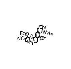 CCOc1cc(C(C)N2CCc3c(Br)cc(Cn4ccnc4NC)cc3C2=O)ncc1C#N